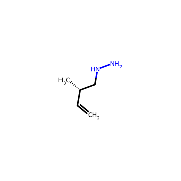 C=C[C@H](C)CNN